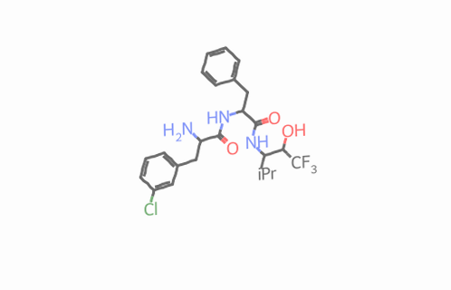 CC(C)C(NC(=O)C(Cc1ccccc1)NC(=O)C(N)Cc1cccc(Cl)c1)C(O)C(F)(F)F